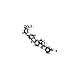 CCOC(=O)C1CCN(Cc2cc(Oc3ccc4c(c3)CCN4C(=O)Nc3cccc(C(F)(F)F)c3)ncn2)CC1